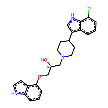 O[C@H](COc1cccc2[nH]ccc12)CN1CCC(c2c[nH]c3c(Cl)cccc23)CC1